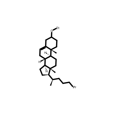 CCOC1CC[C@@]2(C)C(=CC[C@H]3[C@@H]4CC[C@H]([C@H](C)CCCC(C)C)[C@@]4(C)CC[C@@H]32)C1